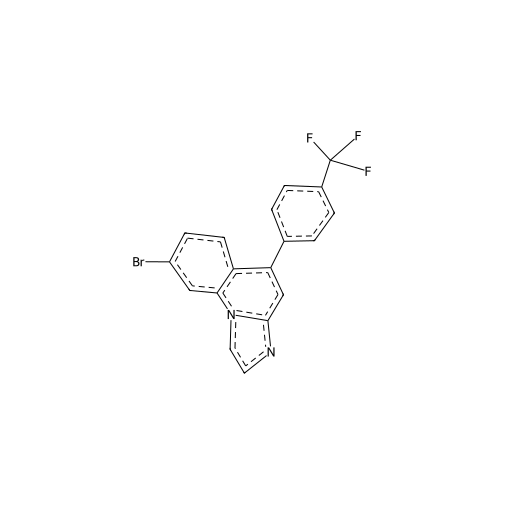 FC(F)(F)c1ccc(-c2cc3nccn3c3cc(Br)ccc23)cc1